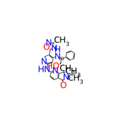 Cc1noc(-c2cnc(Nc3ccc4c(n3)C(C)(C)N(C)C4=O)cc2N[C@H](CO)c2ccccc2)n1